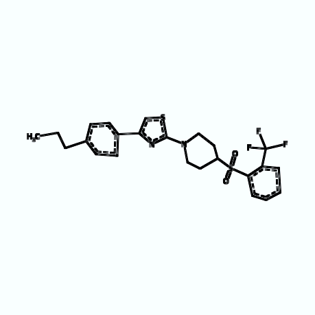 CCCc1ccc(-c2csc(N3CCC(S(=O)(=O)c4ccccc4C(F)(F)F)CC3)n2)cc1